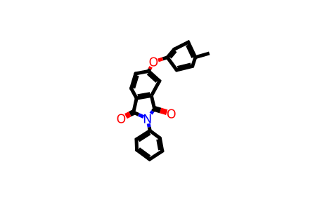 Cc1ccc(Oc2ccc3c(c2)C(=O)N(c2ccccc2)C3=O)cc1